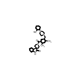 Cc1cc(C)c(C(=O)N2CCC3(CC2)C(=O)Nc2ccccc23)cc1CN1CCN(c2ccccc2C#N)CC1